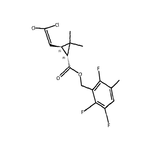 Cc1cc(F)c(F)c(COC(=O)[C@@H]2[C@@H](C=C(Cl)Cl)C2(C)C)c1F